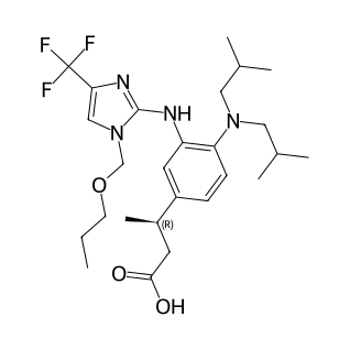 CCCOCn1cc(C(F)(F)F)nc1Nc1cc([C@H](C)CC(=O)O)ccc1N(CC(C)C)CC(C)C